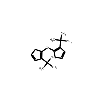 CC(C)(C)C1=[C]([Zr][C]2=C(C(C)(C)C)C=CC2)CC=C1